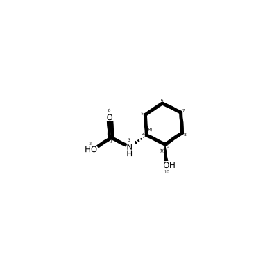 O=C(O)N[C@@H]1CCCC[C@H]1O